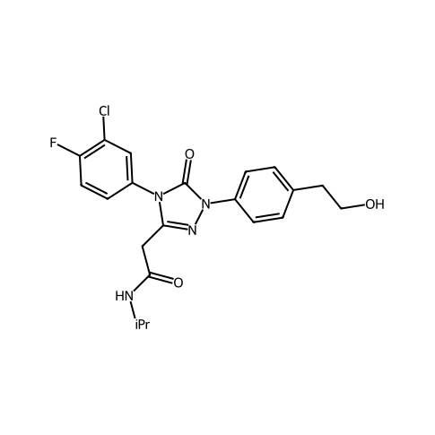 CC(C)NC(=O)Cc1nn(-c2ccc(CCO)cc2)c(=O)n1-c1ccc(F)c(Cl)c1